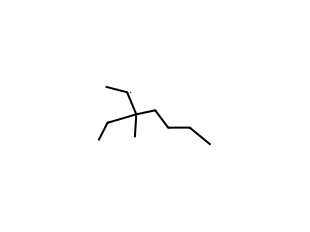 C[CH]C(C)(CC)CCCC